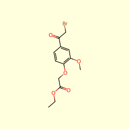 CCOC(=O)COc1ccc(C(=O)CBr)cc1OC